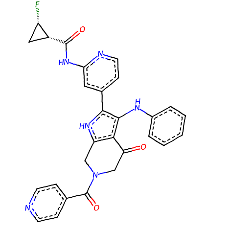 O=C1CN(C(=O)c2ccncc2)Cc2[nH]c(-c3ccnc(NC(=O)[C@@H]4C[C@@H]4F)c3)c(Nc3ccccc3)c21